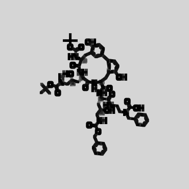 CC(C)(C)OC(=O)NC[C@H](O)C[C@@H]1NC(=O)[C@@H](NC(=O)OC(C)(C)C)Cc2cc(ccc2O)-c2ccc(O)c(c2)C[C@@H](C(=O)N[C@@H](C[C@@H](O)CNC(=O)OCc2ccccc2)C(=O)NCCN(Cc2ccccc2)C(=O)O)NC1=O